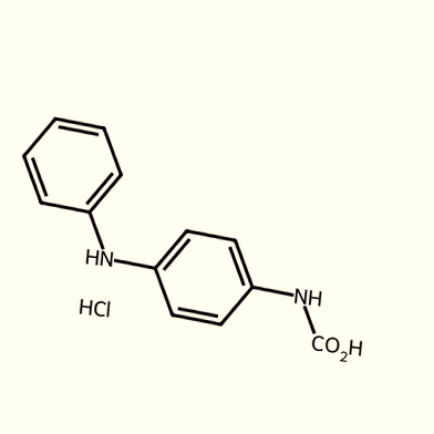 Cl.O=C(O)Nc1ccc(Nc2ccccc2)cc1